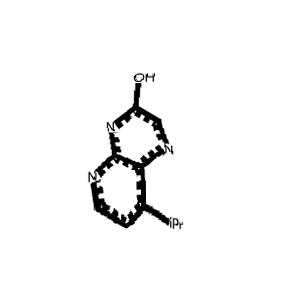 CC(C)c1ccnc2nc(O)cnc12